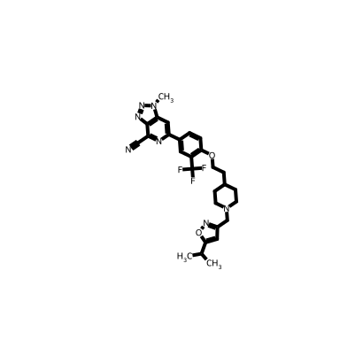 CC(C)c1cc(CN2CCC(CCOc3ccc(-c4cc5c(nnn5C)c(C#N)n4)cc3C(F)(F)F)CC2)no1